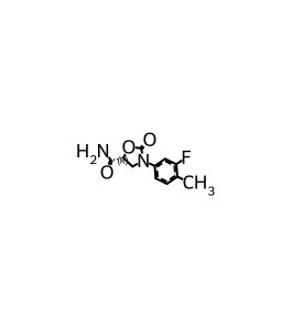 Cc1ccc(N2C[C@H](C(N)=O)OC2=O)cc1F